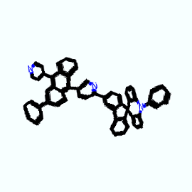 c1ccc(-c2ccc3c(-c4ccc(-c5ccc6c(c5)-c5ccccc5C65c6ccccc6N(c6ccccc6)c6ccccc65)nc4)c4ccccc4c(-c4ccncc4)c3c2)cc1